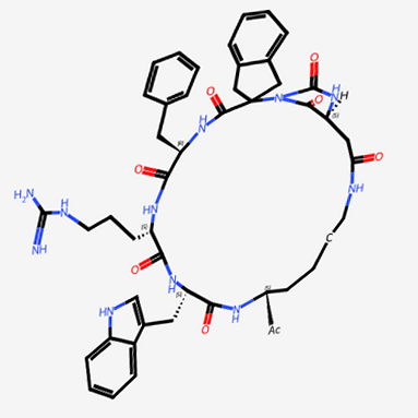 CC(=O)[C@@H]1CCCCNC(=O)C[C@@H]2NC(=O)N(C2=O)C2(Cc3ccccc3C2)C(=O)N[C@H](Cc2ccccc2)C(=O)N[C@@H](CCCNC(=N)N)C(=O)N[C@@H](Cc2c[nH]c3ccccc23)C(=O)N1